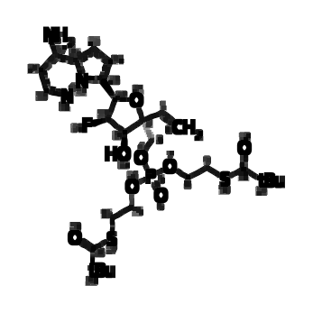 C=C[C@]1(COP(=O)(OCCSC(=O)C(C)(C)C)OCCSC(=O)C(C)(C)C)O[C@H](c2ccc3c(N)ccnn23)[C@H](F)[C@@H]1O